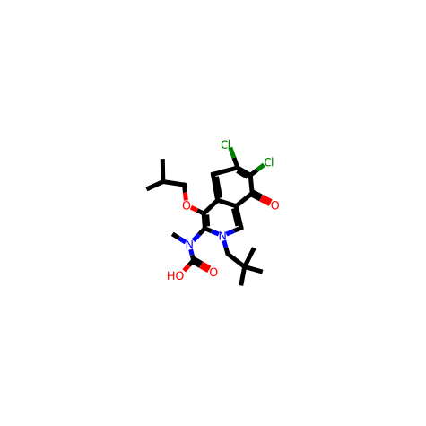 CC(C)COc1c2cc(Cl)c(Cl)c(=O)c-2cn(CC(C)(C)C)c1N(C)C(=O)O